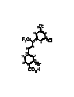 CCc1cc(Cl)cc(C(C=Cc2ccc(C(=O)O)c(Br)c2)C(F)(F)F)c1